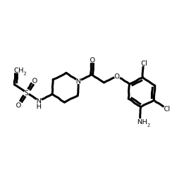 C=CS(=O)(=O)NC1CCN(C(=O)COc2cc(N)c(Cl)cc2Cl)CC1